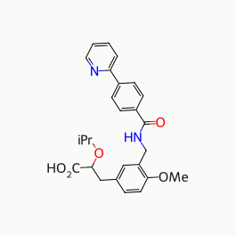 COc1ccc(CC(OC(C)C)C(=O)O)cc1CNC(=O)c1ccc(-c2ccccn2)cc1